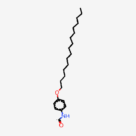 CCCCCCCCCCCCCCCCOc1ccc(N[C]=O)cc1